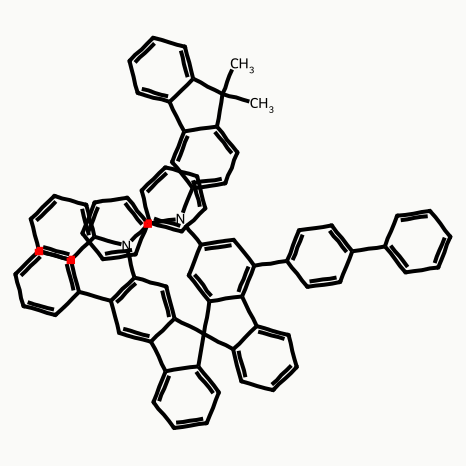 CC1(C)c2ccccc2-c2cc(N(c3ccccc3)c3cc(-c4ccc(-c5ccccc5)cc4)c4c(c3)C3(c5ccccc5-c5cc(-c6ccccc6)c(N(c6ccccc6)c6ccccc6)cc53)c3ccccc3-4)ccc21